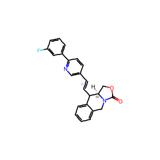 O=C1OC[C@@H]2C(/C=C/c3ccc(-c4cccc(F)c4)nc3)c3ccccc3CN12